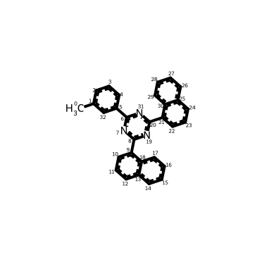 Cc1cccc(-c2nc(-c3cccc4ccccc34)nc(-c3cccc4ccccc34)n2)c1